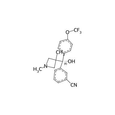 CN1CC(C)([C@@](O)(c2ccc(OC(F)(F)F)cc2)c2cccc(C#N)c2)C1